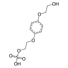 O=S(=O)(O)OCCOc1ccc(OCCO)cc1